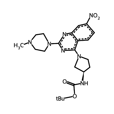 CN1CCN(c2nc(N3CC[C@@H](NC(=O)OC(C)(C)C)C3)c3ccc([N+](=O)[O-])cc3n2)CC1